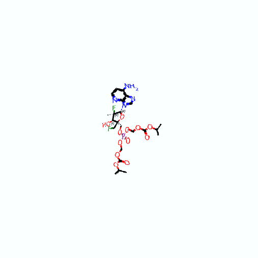 CC(C)OC(=O)OCOP(=O)(OCOC(=O)OC(C)C)OC[C@@]1(CF)O[C@@H](n2cnc3c(N)ccnc32)[C@](C)(F)[C@@H]1O